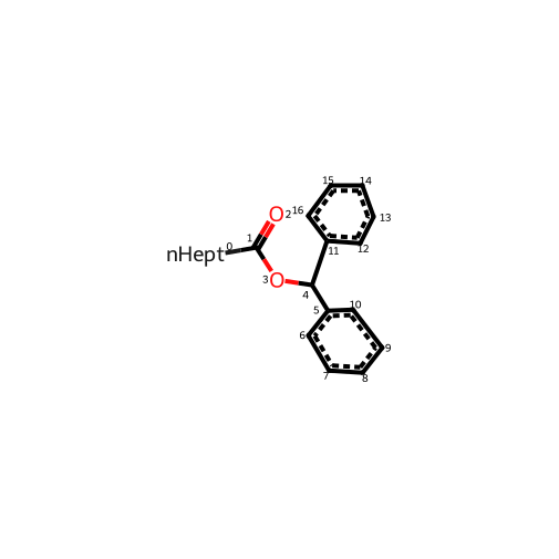 CCCCCCCC(=O)OC(c1ccccc1)c1ccccc1